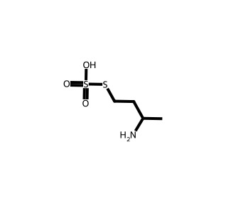 CC(N)CCSS(=O)(=O)O